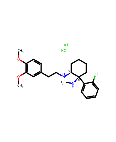 CN[C@]1(c2ccccc2Cl)CCCC[C@@H]1NCCc1ccc(OC)c(OC)c1.Cl.Cl